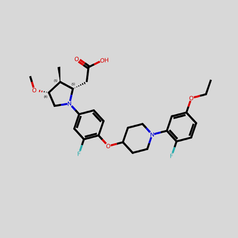 CCOc1ccc(F)c(N2CCC(Oc3ccc(N4C[C@H](OC)[C@@H](C)[C@@H]4CC(=O)O)cc3F)CC2)c1